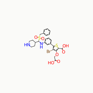 O=C(O)COc1c(C(=O)O)sc(-c2cccc(NC(C3CCNCC3)S(=O)(=O)Cc3ccccc3)c2)c1Br